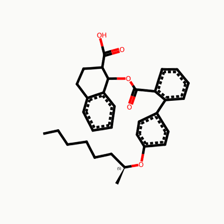 CCCCCC[C@H](C)Oc1ccc(-c2ccccc2C(=O)OC2c3ccccc3CCC2C(=O)O)cc1